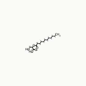 CCCCCCCCCCCC(=O)OC(CO)C(=O)O